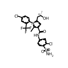 Cc1c(C(=O)Nc2ccc(S(N)(=O)=O)c(Cl)c2)cc(C[C@H](C)O)n1-c1ccc(Cl)cc1C(F)(F)F